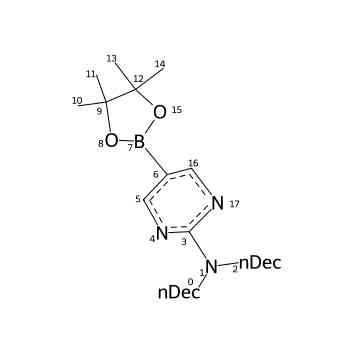 CCCCCCCCCCN(CCCCCCCCCC)c1ncc(B2OC(C)(C)C(C)(C)O2)cn1